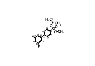 CCO[Si](OC)(OC)c1ccc(-c2cc(F)cc(F)c2)cc1